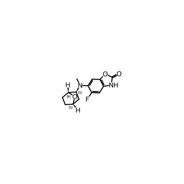 CN(c1cc2oc(=O)[nH]c2cc1F)[C@H]1C[C@@H]2CC[C@H]1O2